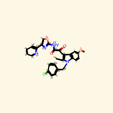 COc1ccc2c(c1)c(C(=O)C(=O)Nc1nc(-c3ccccn3)co1)c(C)n2Cc1ccc(Cl)cc1